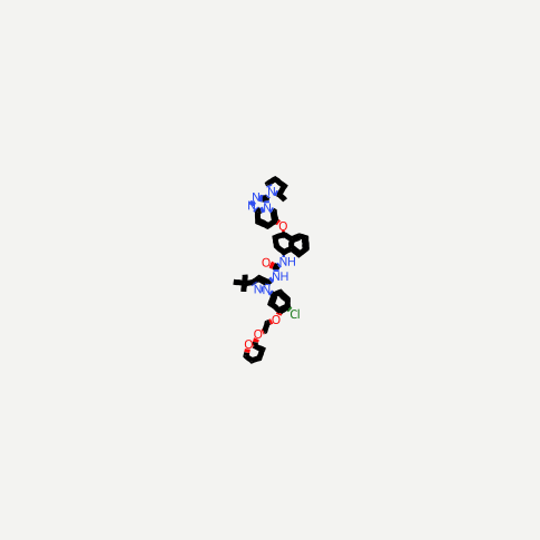 CC1CCCN1c1nnc2ccc(O[C@@H]3CC[C@H](NC(=O)Nc4cc(C(C)(C)C)nn4-c4ccc(Cl)c(OCCOC5CCCCO5)c4)c4ccccc43)cn12